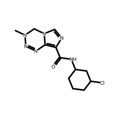 CN1Cn2cnc(C(=O)NC3CCCC(Cl)C3)c2N=N1